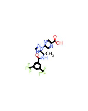 C[C@H](NC(=O)c1cc(C(F)(F)F)cc(C(F)(F)F)c1)c1ncnn1-c1cnc(C(=O)O)cn1